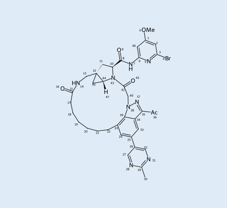 COc1cc(Br)nc(NC(=O)[C@@H]2C[C@]34CNC(=O)CCCCCCc5cc(-c6cnc(C)nc6)cc6c(C(C)=O)nn(c56)CC(=O)N2[C@@H]3C4)c1